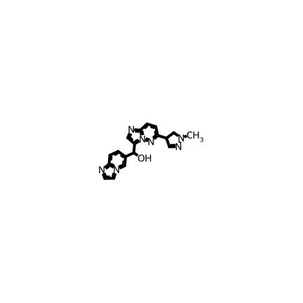 CN1CC(c2ccc3ncc(C(O)c4ccc5nccn5c4)n3n2)C=N1